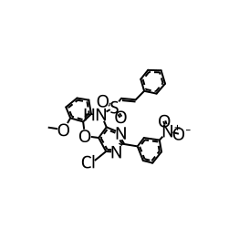 COc1ccccc1Oc1c(Cl)nc(-c2cccc([N+](=O)[O-])c2)nc1NS(=O)(=O)C=Cc1ccccc1